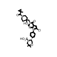 CC1(C)CN(C(=O)O)[C@H](c2ccc(-n3c(Cl)cc4c(=O)n(CC5(O)CCN(C(=O)C6(C)CC6)CC5)cnc43)cc2)CO1